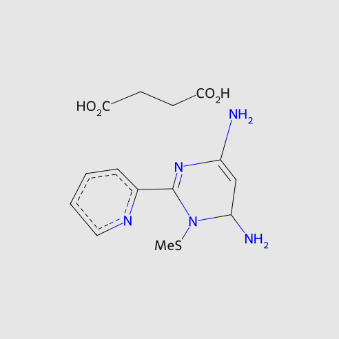 CSN1C(c2ccccn2)=NC(N)=CC1N.O=C(O)CCC(=O)O